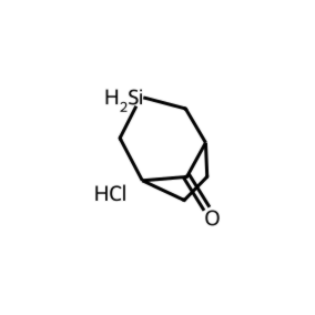 Cl.O=C1C2CCC1C[SiH2]C2